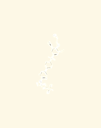 CC(C)(c1ccc(-c2cnc(N3CCC34CN(S(C)(=O)=O)C4)nc2)cc1)c1cc(Cl)c(OCCCl)c(C#N)c1